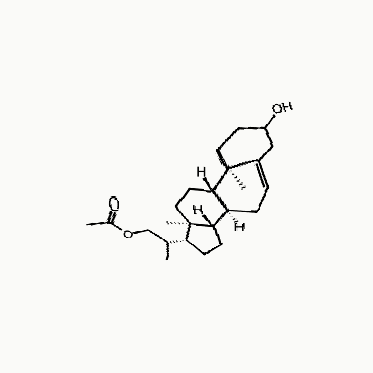 CC(=O)OCC(C)[C@H]1CC[C@H]2[C@@H]3CC=C4CC(O)CC[C@]4(C)[C@H]3CC[C@]12C